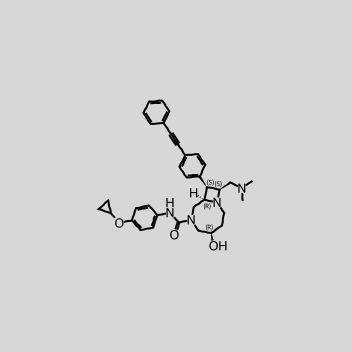 CN(C)C[C@@H]1[C@H](c2ccc(C#Cc3ccccc3)cc2)[C@@H]2CN(C(=O)Nc3ccc(OC4CC4)cc3)C[C@H](O)CCN12